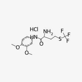 COc1ccc(NC(=O)C(N)CCSC(F)(F)F)cc1OC.Cl